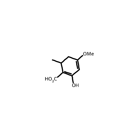 COC1=CC(O)=C(C(=O)O)C(C)C1